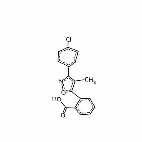 Cc1c(-c2ccc(Cl)cc2)noc1-c1ccccc1C(=O)O